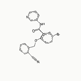 N#Cc1ccccc1COc1ccc(Br)cc1C(=O)Nc1cccnc1